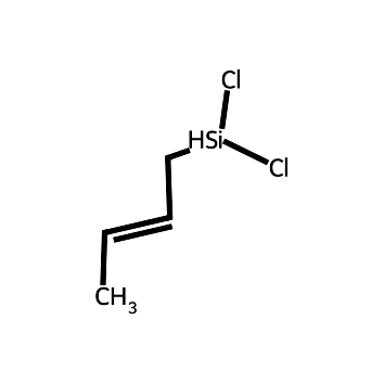 CC=CC[SiH](Cl)Cl